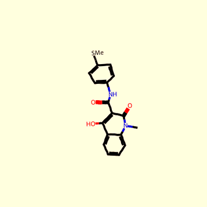 CSc1ccc(NC(=O)c2c(O)c3ccccc3n(C)c2=O)cc1